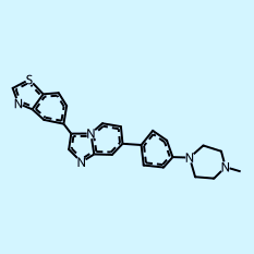 CN1CCN(c2ccc(-c3ccn4c(-c5ccc6scnc6c5)cnc4c3)cc2)CC1